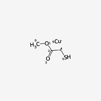 COC(=O)CS.[Cu]